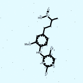 COc1cc(CCC(C)[PH](=O)O)ccc1Nc1nc(Cl)ncc1C(F)(F)F